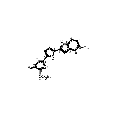 CCOC(=O)c1sc(-c2ccc(-c3cc4cc(F)ccc4s3)s2)nc1C